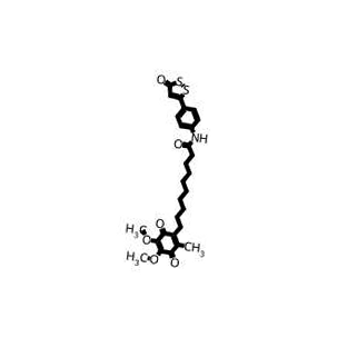 COC1=C(OC)C(=O)C(CCCCCCCCCC(=O)Nc2ccc(-c3cc(=O)ss3)cc2)=C(C)C1=O